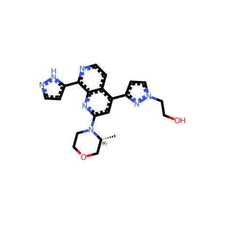 C[C@@H]1COCCN1c1cc(-c2ccn(CCO)n2)c2ccnc(-c3ccn[nH]3)c2n1